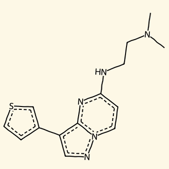 CN(C)CCNc1ccn2ncc(-c3ccsc3)c2n1